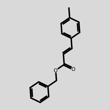 Cc1ccc(/C=C/C(=O)OCc2ccccc2)cc1